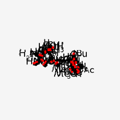 CO[C@H]1C(=O)[C@]2(C)[C@@H](OC)C[C@H]3OCC3[C@@]2(NCOC(C)=O)[C@H](OC(=O)c2ccccc2)[C@]2(O)C[C@H](OC(=O)[C@H](OC(=O)OCCSSCCC(=O)N[C@H](Cc3ccccc3)C(=O)N[C@H]3CSSC[C@@H](C(=O)N[C@H](CO)[C@@H](C)O)NC(=O)[C@H]([C@@H](C)O)NC(=O)[C@H](CCCCN)NC(=O)[C@@H](Cc4c[nH]c5ccccc45)NC(=O)[C@H](Cc4ccccc4)NC3=O)[C@@H](NC(=O)OC(C)(C)C)c3ccccc3)C(C)=C1C2(C)C